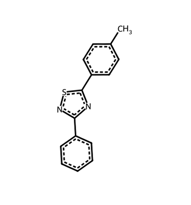 Cc1ccc(-c2nc(-c3ccccc3)ns2)cc1